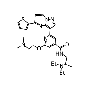 CCN(CC)C(C)CNC(=O)c1cc(OCCN(C)C)nc(-c2cnn3ccc(-c4cccs4)nc23)c1